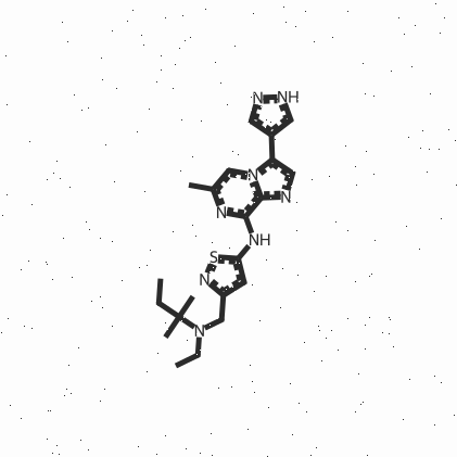 CCN(Cc1cc(Nc2nc(C)cn3c(-c4cn[nH]c4)cnc23)sn1)C(C)(C)CC